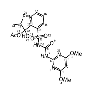 COc1cc(OC)nc(NC(=O)NS(=O)(=O)c2cccnc2C(O)(OC(C)=O)C(C)F)n1